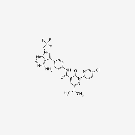 CC(C)c1cc(C(=O)Nc2ccc(-c3cn(CC(F)(F)F)c4ncnc(N)c34)cc2)c(=O)n(-c2ccc(Cl)cn2)n1